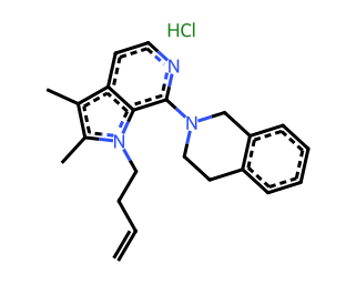 C=CCCn1c(C)c(C)c2ccnc(N3CCc4ccccc4C3)c21.Cl